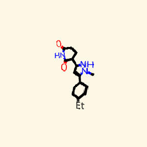 CCC1CCC(C2=CC(C3CCC(=O)NC3=O)NN2C)CC1